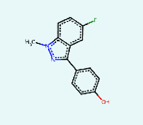 Cn1nc(-c2ccc(O)cc2)c2cc(F)ccc21